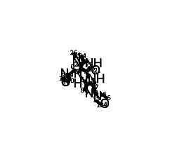 C[C@H](Nc1c(-c2nc3cnc(N4CCOCC4)cc3[nH]2)c(=O)[nH]c2cn(C)nc12)c1cocn1